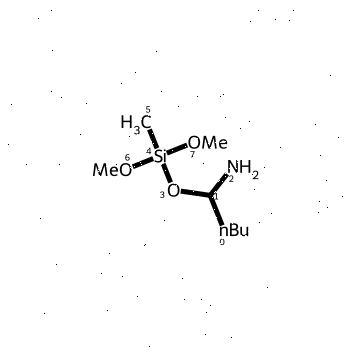 CCCCC(N)O[Si](C)(OC)OC